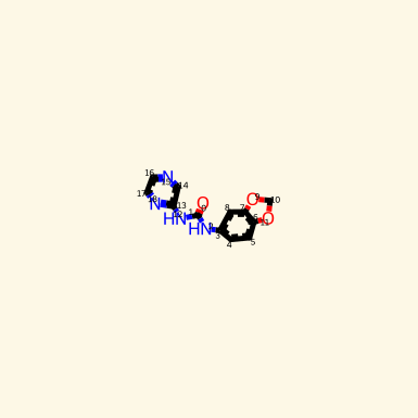 O=C(Nc1ccc2c(c1)OCO2)Nc1cnccn1